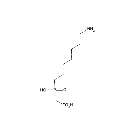 NCCCCCCCP(=O)(O)CC(=O)O